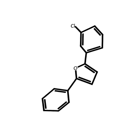 Clc1cccc(-c2ccc(-c3ccccc3)o2)c1